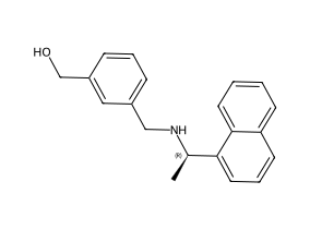 C[C@@H](NCc1cccc(CO)c1)c1cccc2ccccc12